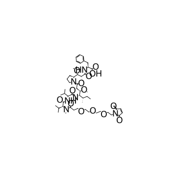 CC[C@H](C)[C@@H]([C@@H](CC(=O)N1CCC[C@H]1[C@H](OC)[C@@H](C)C(=O)N[C@@H](Cc1ccccc1)C(=O)O)OC)N(C)C(=O)[C@@H](NC(=O)[C@H](C(C)C)N(C)C(=O)CCOCCOCCOCCN1C(=O)C=CC1=O)C(C)C